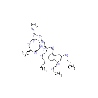 C=C/C=C\C=C/CC(\C=C/c1cccc2c1CC(/C=C\CCC)=CC/2=C/C=C\C)=C\C=C\C=C/C(=C\C=C\N)C1=C/C=C\C(=C)/C=C\C=C/C\1